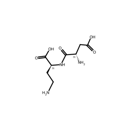 NCC[C@H](NC(=O)[C@@H](N)CC(=O)O)C(=O)O